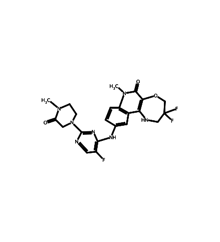 CN1CCN(c2ncc(F)c(Nc3ccc4c(c3)c3c(c(=O)n4C)OCC(F)(F)CN3)n2)CC1=O